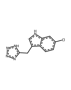 Clc1ccc2c(Cc3nnn[nH]3)[c][nH]c2c1